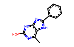 Cc1nc(O)nc2nc(-c3ccccc3)[nH]c12